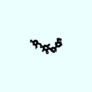 Cc1c(OCc2ccc(F)cc2F)cc(C)n(-c2ccnc(-c3ccnc(C(C)(C)C)n3)c2)c1=O